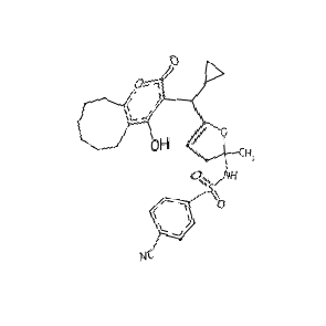 CC1(NS(=O)(=O)c2ccc(C#N)cc2)CC=C(C(c2c(O)c3c(oc2=O)CCCCCC3)C2CC2)O1